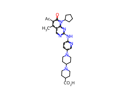 CC(=O)c1c(C)c2cnc(Nc3ccc(N4CCC(N5CCC(C(=O)O)CC5)CC4)cn3)nc2n(C2CCCC2)c1=O